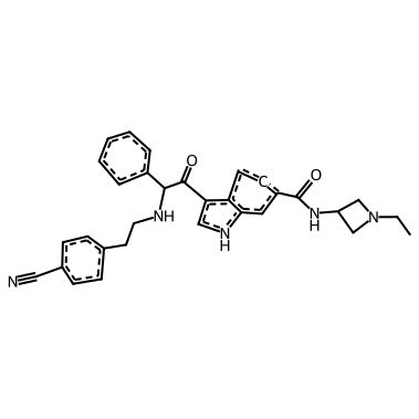 CCN1CC(NC(=O)c2ccc3c(C(=O)C(NCCc4ccc(C#N)cc4)c4ccccc4)c[nH]c3c2)C1